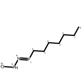 CCCCCCCP=NPCl